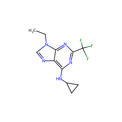 CCn1cnc2c(NC3CC3)nc(C(F)(F)F)nc21